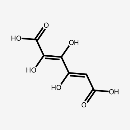 O=C(O)C=C(O)C(O)=C(O)C(=O)O